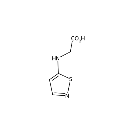 O=C(O)CNc1ccns1